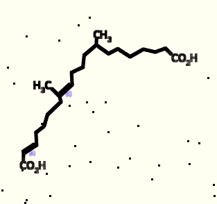 C/C(=C\CCCC(C)CCCCCCC(=O)O)CCCC/C=C/C(=O)O